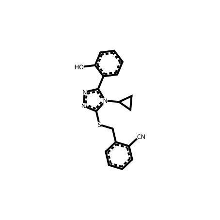 N#Cc1ccccc1CSc1nnc(-c2ccccc2O)n1C1CC1